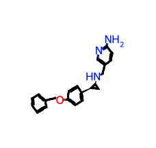 Nc1ccc(CN[C@@H]2C[C@H]2c2ccc(OCc3ccccc3)cc2)cn1